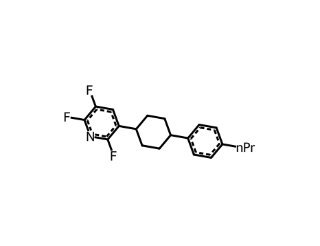 CCCc1ccc(C2CCC(c3cc(F)c(F)nc3F)CC2)cc1